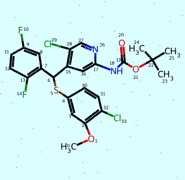 COc1cc(SC(c2cc(F)ccc2F)c2cc(NC(=O)OC(C)(C)C)ncc2Cl)ccc1Cl